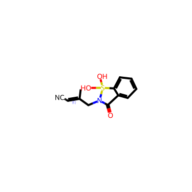 C/C(=C\C#N)CN1C(=O)c2ccccc2S1(O)O